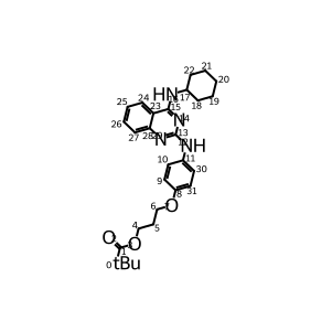 CC(C)(C)C(=O)OCCCOc1ccc(Nc2nc(NC3CCCCC3)c3ccccc3n2)cc1